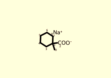 CC1(C(=O)[O-])CCCCC1.[Na+]